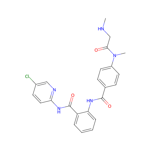 CNCC(=O)N(C)c1ccc(C(=O)Nc2ccccc2C(=O)Nc2ccc(Cl)cn2)cc1